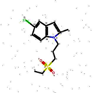 CCS(=O)(=O)CCCn1c(C)cc2cc(Cl)ccc21